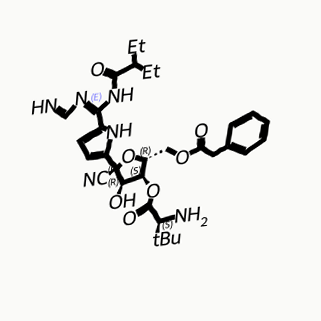 CCC(CC)C(=O)N/C(=N/C=N)c1ccc([C@]2(C#N)O[C@H](COC(=O)Cc3ccccc3)[C@@H](OC(=O)[C@@H](N)C(C)(C)C)[C@H]2O)[nH]1